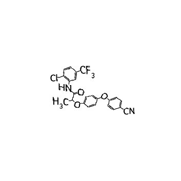 CC(Oc1ccc(Oc2ccc(C#N)cc2)cc1)C(=O)Nc1cc(C(F)(F)F)ccc1Cl